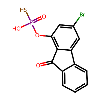 O=C1c2ccccc2-c2cc(Br)cc(OP(=O)(O)S)c21